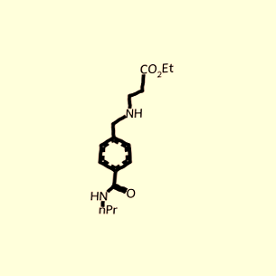 CCCNC(=O)c1ccc(CNCCC(=O)OCC)cc1